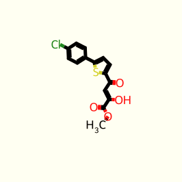 COC(=O)C(O)=CC(=O)c1ccc(-c2ccc(Cl)cc2)s1